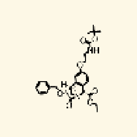 CCOC(=O)[C@H]1c2ccc(OCCNC(=O)OC(C)(C)C)cc2[C@H]2CN1C(=O)N2OCc1ccccc1